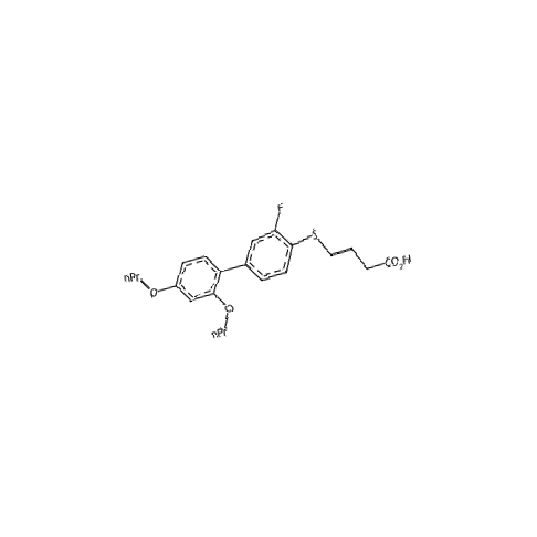 CCCOc1ccc(-c2ccc(SCCCC(=O)O)c(F)c2)c(OCCC)c1